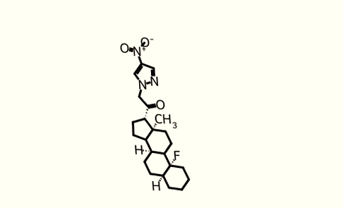 C[C@]12CCC3[C@@H](CC[C@@H]4CCCC[C@]34F)C1CC[C@@H]2C(=O)Cn1cc([N+](=O)[O-])cn1